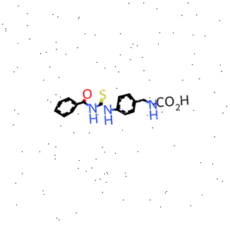 O=C(O)NCc1ccc(NC(=S)NC(=O)c2ccccc2)cc1